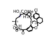 COC1(C(=O)O)/C=C/C[C@H](C)[C@@H](C)S(=O)(=O)NC(=O)c2ccc3c(c2)N(C[C@@H]2CC[C@H]21)C[C@@]1(CCCc2cc(Cl)ccc21)CO3